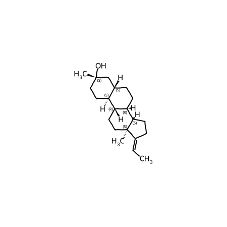 CC=C1CC[C@H]2[C@@H]3CC[C@H]4C[C@@](C)(O)CC[C@@H]4[C@H]3CC[C@]12C